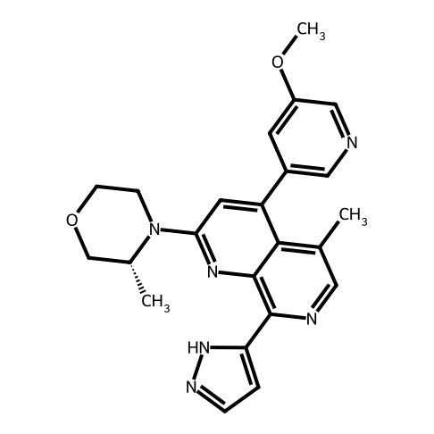 COc1cncc(-c2cc(N3CCOC[C@H]3C)nc3c(-c4ccn[nH]4)ncc(C)c23)c1